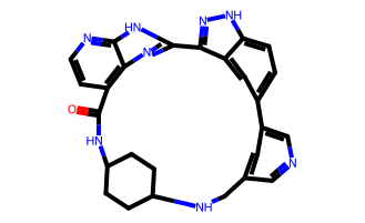 O=C1NC2CCC(CC2)NCc2cncc(c2)-c2ccc3[nH]nc(c3c2)-c2nc3c1ccnc3[nH]2